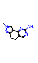 Cn1cc2c(n1)CCc1cnc(N)nc1-2